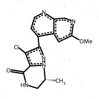 COc1cc2c(-c3nn4c(c3Cl)C(=O)NC[C@H]4C)ccnc2cn1